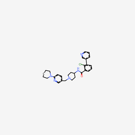 O=C(NC1CCN(Cc2ccc(N3CCCCC3)nc2)CC1)c1cccc(-c2cccnc2)c1Cl